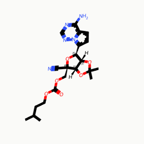 CC(C)CCOC(=O)OC[C@@]1(C#N)O[C@@H](c2ccc3c(N)ncnn23)[C@@H]2OC(C)(C)O[C@@H]21